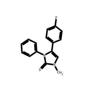 Cn1cc(-c2ccc(F)cc2)n(-c2ccccc2)c1=S